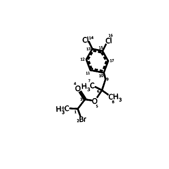 CC(Br)C(=O)OC(C)(C)Cc1ccc(Cl)c(Cl)c1